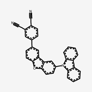 N#Cc1ccc(-c2ccc3oc4ccc(-n5c6ccccc6c6ccccc65)cc4c3c2)cc1C#N